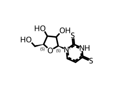 OC[C@@H]1O[C@H](n2ccc(=S)[nH]c2=S)C(O)C1O